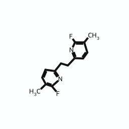 Cc1ccc(CCc2ccc(C)c(F)n2)nc1F